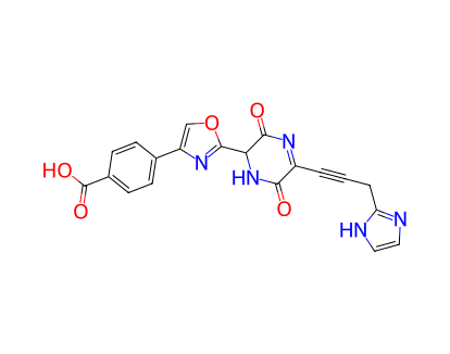 O=C1NC(c2nc(-c3ccc(C(=O)O)cc3)co2)C(=O)N=C1C#CCc1ncc[nH]1